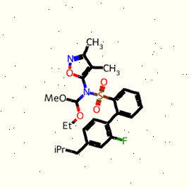 CCOC(OC)N(c1onc(C)c1C)S(=O)(=O)c1ccccc1-c1ccc(CC(C)C)cc1F